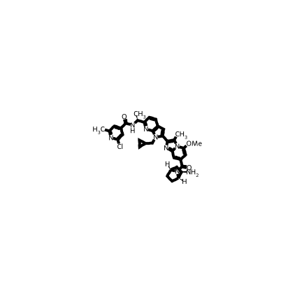 COc1cc(C(=O)N2[C@H]3CC[C@@H]2[C@H](N)C3)cc2nc(-c3cc4ccc([C@@H](C)NC(=O)c5cc(C)nc(Cl)c5)nc4n3CC3CC3)c(C)n12